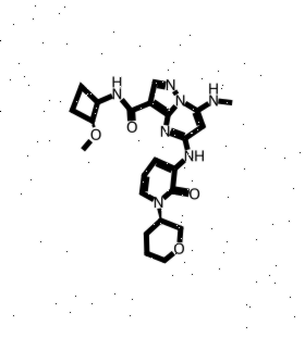 CNc1cc(Nc2cccn([C@@H]3CCCOC3)c2=O)nc2c(C(=O)NC3CC[C@H]3OC)cnn12